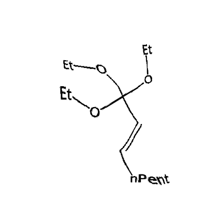 CCCCCC=CC(OCC)(OCC)OCC